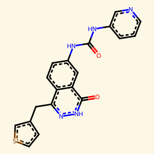 O=C(Nc1cccnc1)Nc1ccc2c(Cc3ccsc3)n[nH]c(=O)c2c1